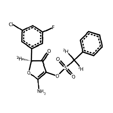 [2H]C([2H])(c1ccccc1)S(=O)(=O)OC1=C(N)O[C@@]([2H])(c2cc(F)cc(Cl)c2)C1=O